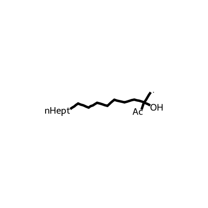 [CH2]C(O)(CCCCCCCCCCCCCC)C(C)=O